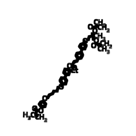 C=C(C)C(=O)OCC(C)(CCOc1ccc(-c2ccc(/C=C/C(=O)Oc3ccc(-c4ccc(OCCCCCCOc5ccc(OC(=O)C(=C)C)cc5)cc4)cc3CC)cc2)cc1)COC(=O)C(=C)C